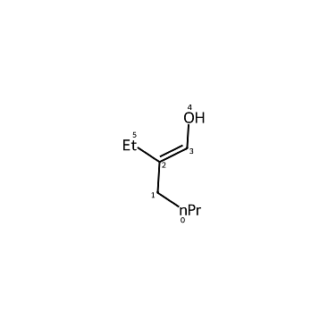 CCCCC(=CO)CC